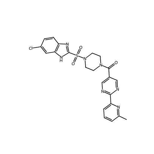 Cc1cccc(-c2ncc(C(=O)N3CCN(S(=O)(=O)c4nc5ccc(Cl)cc5[nH]4)CC3)cn2)n1